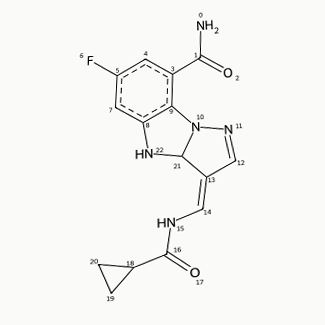 NC(=O)c1cc(F)cc2c1N1N=CC(=CNC(=O)C3CC3)C1N2